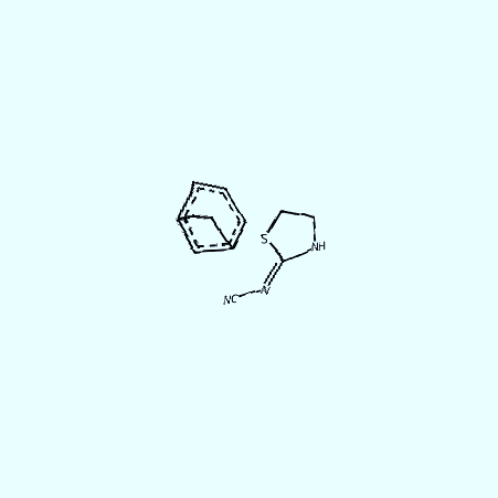 N#CN=C1NCCS1.c1cc2cc(c1)C2